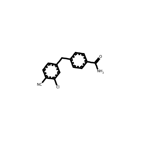 N#Cc1ccc(Cc2ccc(C(N)=O)cc2)cc1Cl